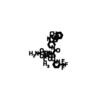 CN1N=C2CCN(C(=O)C(COc3cccc(C(F)(F)F)n3)NC(=O)C(C)(C)OC(N)=O)C[C@@]2(Cc2ccccc2)C1=O